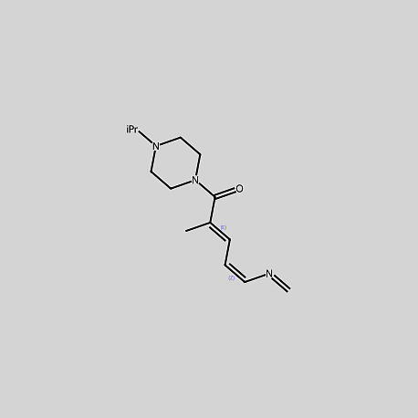 C=N/C=C\C=C(/C)C(=O)N1CCN(C(C)C)CC1